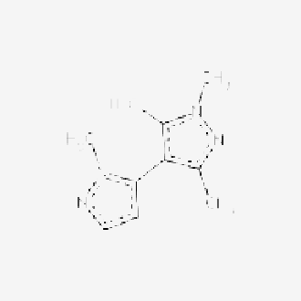 Cc1nn(C)c(C)c1-c1ccnn1C